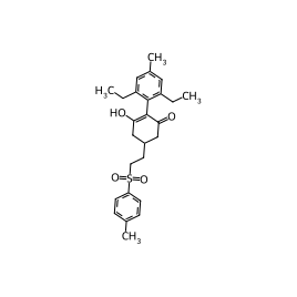 CCc1cc(C)cc(CC)c1C1=C(O)CC(CCS(=O)(=O)c2ccc(C)cc2)CC1=O